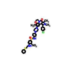 Cc1c2c(c(-c3ccc(Cl)cc3)n1C)C1(C)C=C(N3CCN(c4ccc(N[S+]([O-])c5ccc(NCCSc6ccccc6)c([N+](=O)[O-])c5)cc4)CC3)C(C)C3=C1N(CCO3)C2=O